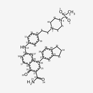 CS(=O)(=O)N1CCN(CCc2ccc(Nc3ncc4c(=O)c(C(N)=O)cn(-c5ccc6c(c5)CCC6)c4n3)cc2)CC1